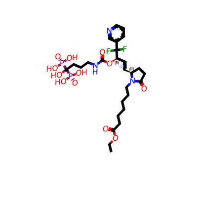 CCOC(=O)CCCCCCN1C(=O)CC[C@@H]1/C=C/[C@@H](OC(=O)NCCCC(O)(P(=O)(O)O)P(=O)(O)O)C(F)(F)c1cccnc1